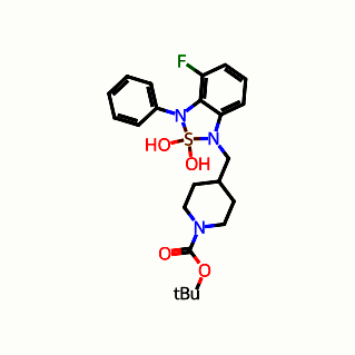 CC(C)(C)OC(=O)N1CCC(CN2c3cccc(F)c3N(c3ccccc3)S2(O)O)CC1